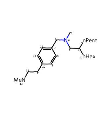 CCCCCCC(CCCCC)CN(C)Cc1ccc(CCNC)cc1